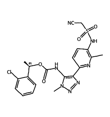 Cc1nc(-c2nnn(C)c2NC(=O)O[C@H](C)c2ccccc2Cl)ccc1NS(=O)(=O)CC#N